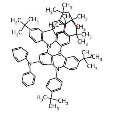 CC(C)(C)c1ccc(N2c3ccc(C(C)(C)C)cc3B3c4cc5c(cc4N(c4ccc(C(C)(C)C)cc4-c4ccc6c(c4)C(C)(C)CC6(C)C)c4cc(N(c6ccccc6)c6ccccc6)cc2c43)C(C)(C)CCC5(C)C)cc1